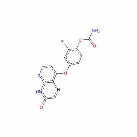 NC(=O)Oc1ccc(Oc2ccnc3[nH]c(=O)cnc23)cc1F